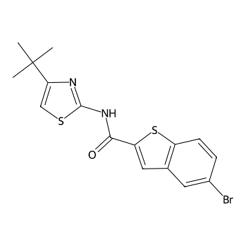 CC(C)(C)c1csc(NC(=O)c2cc3cc(Br)ccc3s2)n1